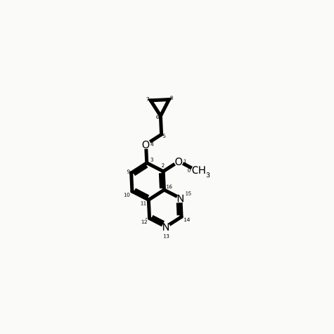 COc1c(OCC2CC2)ccc2[c]ncnc12